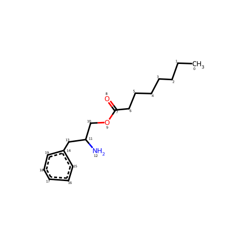 CCCCCCCC(=O)OCC(N)Cc1ccccc1